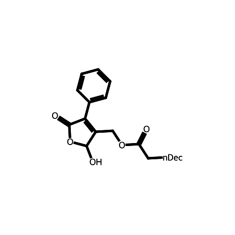 CCCCCCCCCCCC(=O)OCC1=C(c2ccccc2)C(=O)OC1O